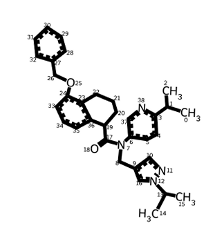 CC(C)c1ccc(N(Cc2cnn(C(C)C)c2)C(=O)C2CCCc3c(OCc4ccccc4)cccc32)cn1